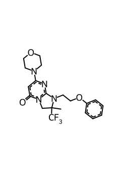 CC1(C(F)(F)F)Cn2c(nc(N3CCOCC3)cc2=O)N1CCOc1ccccc1